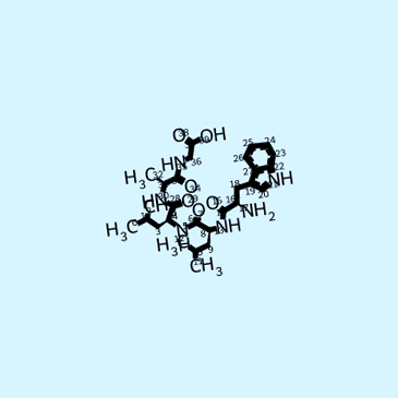 CC(C)C[C@H](NC(=O)[C@H](CC(C)C)NC(=O)[C@@H](N)Cc1c[nH]c2ccccc12)C(=O)N[C@@H](C)C(=O)NCC(=O)O